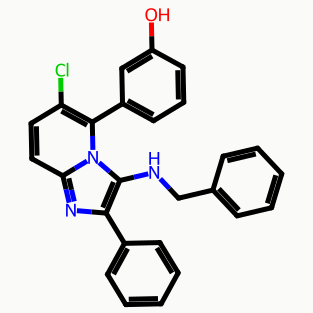 Oc1cccc(-c2c(Cl)ccc3nc(-c4ccccc4)c(NCc4ccccc4)n23)c1